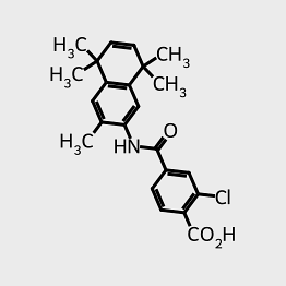 Cc1cc2c(cc1NC(=O)c1ccc(C(=O)O)c(Cl)c1)C(C)(C)C=CC2(C)C